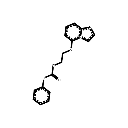 O=C(OCCSc1cccc2nccn12)Oc1ccccc1